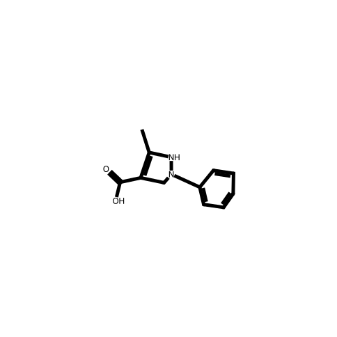 CC1=C(C(=O)O)CN(c2ccccc2)N1